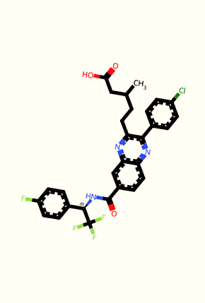 CC(CCc1nc2cc(C(=O)N[C@H](c3ccc(F)cc3)C(F)(F)F)ccc2nc1-c1ccc(Cl)cc1)CC(=O)O